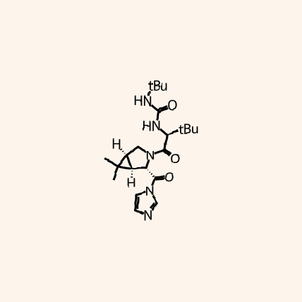 CC(C)(C)NC(=O)N[C@H](C(=O)N1C[C@H]2[C@@H]([C@H]1C(=O)n1ccnc1)C2(C)C)C(C)(C)C